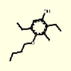 CCCCOc1c(CC)cc(O)c(CC)c1C